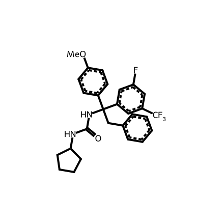 COc1ccc(C(Cc2ccccc2)(NC(=O)NC2CCCC2)c2cc(F)cc(C(F)(F)F)c2)cc1